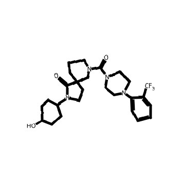 O=C(N1CCN(c2ccccc2C(F)(F)F)CC1)N1CCCC2(CCN(C3CCC(O)CC3)C2=O)C1